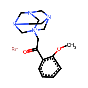 COc1ccccc1C(=O)C[N+]12CN3CN(CN(C3)C1)C2.[Br-]